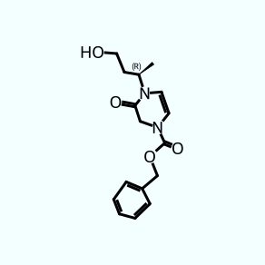 C[C@H](CCO)N1C=CN(C(=O)OCc2ccccc2)CC1=O